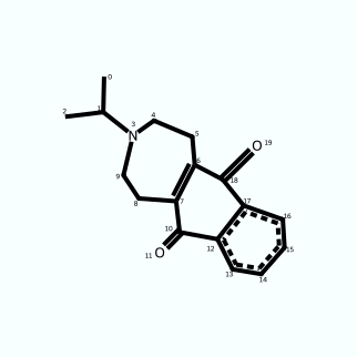 CC(C)N1CCC2=C(CC1)C(=O)c1ccccc1C2=O